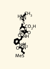 CSCCC(N)C(=O)Nc1ccccc1CC(=O)NC1C(=O)N2C(C(=O)O)=C(CSc3n[nH]c(C)n3)CS[C@H]12